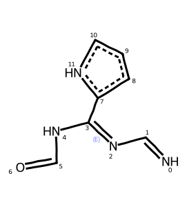 N=C/N=C(/NC=O)c1ccc[nH]1